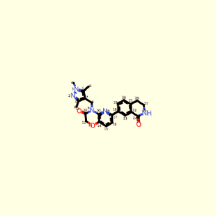 Cc1nn(C)c(C)c1CN1C(=O)COc2ccc(-c3ccc4c(c3)C(=O)NCC4)nc21